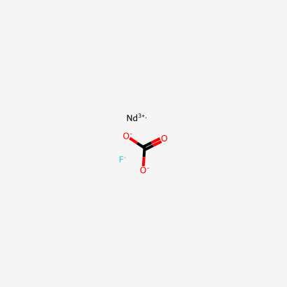 O=C([O-])[O-].[F-].[Nd+3]